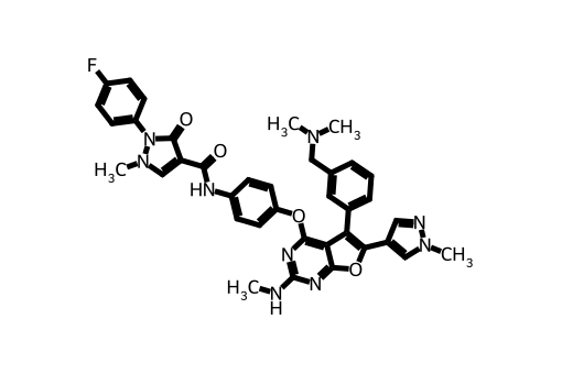 CNc1nc(Oc2ccc(NC(=O)c3cn(C)n(-c4ccc(F)cc4)c3=O)cc2)c2c(-c3cccc(CN(C)C)c3)c(-c3cnn(C)c3)oc2n1